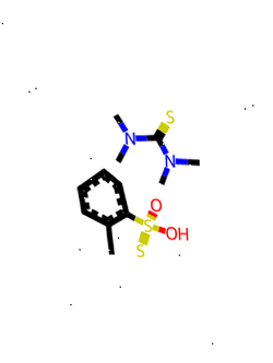 CN(C)C(=S)N(C)C.Cc1ccccc1S(=O)(O)=S